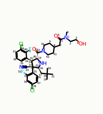 CN(CCO)C(=O)CC1CCN(C(=O)[C@@H]2N[C@@H](CC(C)(C)C)[C@](C#N)(c3ccc(Cl)cc3F)[C@H]2c2cccc(Cl)c2F)CC1